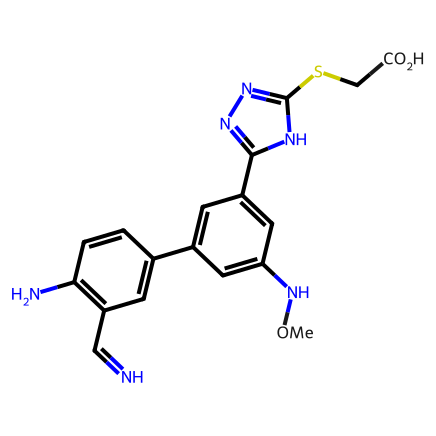 CONc1cc(-c2ccc(N)c(C=N)c2)cc(-c2nnc(SCC(=O)O)[nH]2)c1